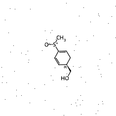 C[S+]([O-])C1=CC[C@@H](CO)C=C1